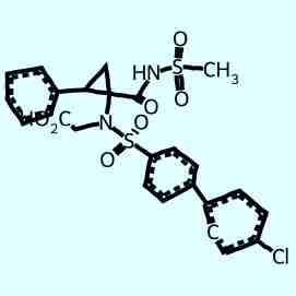 CS(=O)(=O)NC(=O)C1(N(CC(=O)O)S(=O)(=O)c2ccc(-c3ccc(Cl)cc3)cc2)CC1c1ccccc1